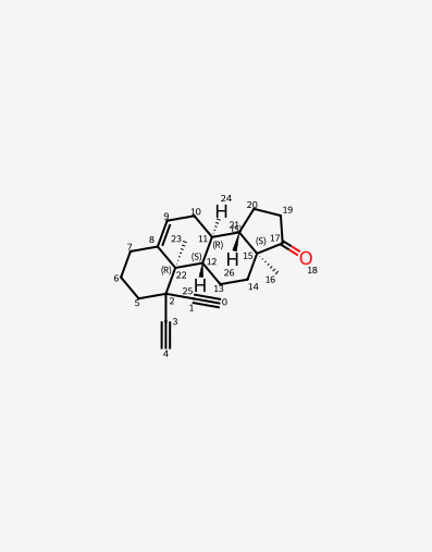 C#CC1(C#C)CCCC2=CC[C@@H]3[C@H](CC[C@]4(C)C(=O)CC[C@@H]34)[C@]21C